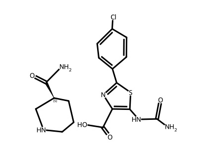 NC(=O)Nc1sc(-c2ccc(Cl)cc2)nc1C(=O)O.NC(=O)[C@H]1CCCNC1